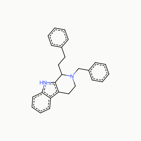 c1ccc(CCC2c3[nH]c4ccccc4c3CCN2Cc2ccccc2)cc1